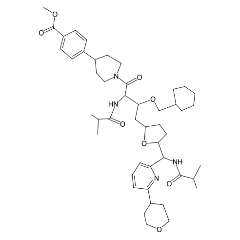 COC(=O)c1ccc(C2CCN(C(=O)C(NC(=O)C(C)C)C(CC3CCC(C(NC(=O)C(C)C)c4cccc(C5CCOCC5)n4)O3)OCC3CCCCC3)CC2)cc1